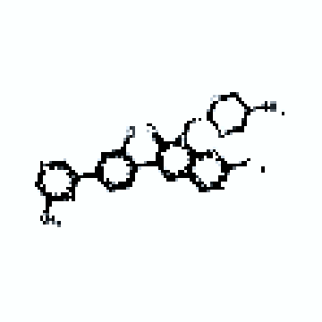 Cc1cncc(-c2ccc(-c3cc4cnc(C)nc4n(C[C@H]4OC[C@H](N)CO4)c3=O)c(Cl)c2)n1